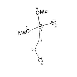 CC[Si](CCCl)(OC)OC